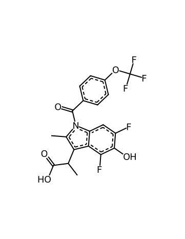 Cc1c(C(C)C(=O)O)c2c(F)c(O)c(F)cc2n1C(=O)c1ccc(OC(F)(F)F)cc1